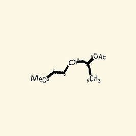 COCCOC(C)OC(C)=O